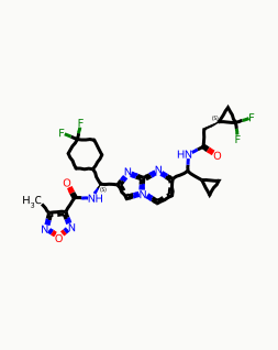 Cc1nonc1C(=O)N[C@H](c1cn2ccc(C(NC(=O)C[C@H]3CC3(F)F)C3CC3)nc2n1)C1CCC(F)(F)CC1